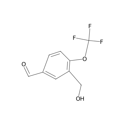 O=Cc1ccc(OC(F)(F)F)c(CO)c1